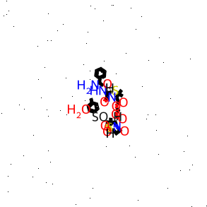 CC1(C)S[C@@H]2[C@H](NC(=O)[C@H](N)c3ccccc3)C(=O)N2C1C(=O)OCOC(=O)[C@@H]1N2C(=O)C[C@H]2S(=O)(=O)C1(C)C.Cc1ccc(S(=O)(=O)O)cc1.O